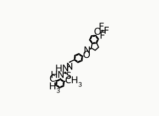 Cc1cccc(C)c1NC(=S)N/N=C/c1ccc(O/N=C2\CCc3cc(OC(F)(F)F)ccc32)cc1